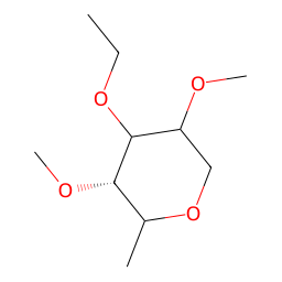 CCOC1C(OC)COC(C)[C@@H]1OC